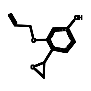 C=CCOc1cc(O)ccc1C1CO1